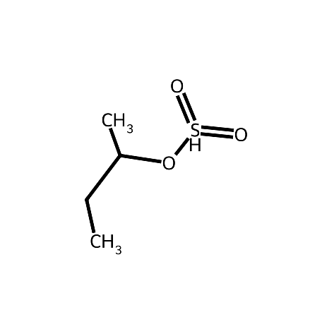 CCC(C)O[SH](=O)=O